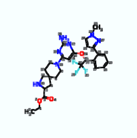 CCOC(=O)C1CC2(CCN(c3cc(O[C@H](c4ccccc4-c4ccn(C)n4)C(F)(F)F)nc(N)n3)CC2)CN1